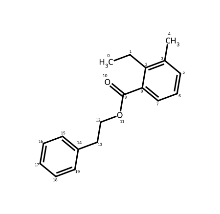 CCc1c(C)cccc1C(=O)OCCc1ccccc1